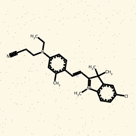 CCN(CCC#N)c1ccc(/C=C/C2=[N+](C)c3ccc(Cl)cc3C2(C)C)c(C)c1